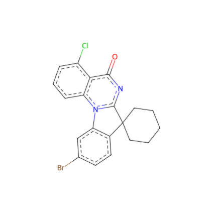 O=c1nc2n(c3cccc(Cl)c13)-c1cc(Br)ccc1C21CCCCC1